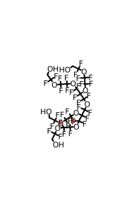 OCC(F)(F)OC(F)(F)C(F)(F)OC(F)(F)C(F)(OC(F)(F)C(F)(F)OC(F)(F)CO)C(F)(F)OC(F)(F)C(F)(OC(F)(F)C(F)(F)OC(F)(F)CO)C(F)(F)OC(F)(F)C(F)(F)OC(F)(F)CO